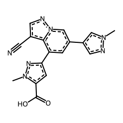 Cn1cc(-c2cc(-c3cc(C(=O)O)n(C)n3)c3c(C#N)cnn3c2)cn1